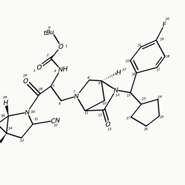 CC(C)(C)OC(=O)NC(CN1C[C@@H]2CC1C(=O)N2C(c1ccc(F)cc1)C1CCCC1)C(=O)N1C(C#N)C[C@@H]2C[C@@H]21